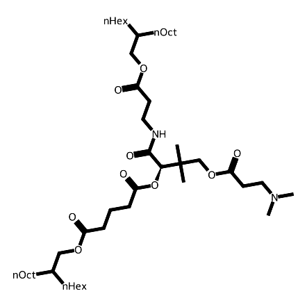 CCCCCCCCC(CCCCCC)COC(=O)CCCC(=O)O[C@@H](C(=O)NCCC(=O)OCC(CCCCCC)CCCCCCCC)C(C)(C)COC(=O)CCN(C)C